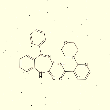 O=C(N[C@H]1N=C(c2ccccc2)c2ccccc2NC1=O)c1cccnc1N1CCOCC1